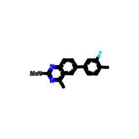 CNc1nc(C)c2cc(-c3ccc(C)c(F)c3)ccc2n1